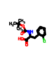 CC(C)(C)OC(=O)NC(Cc1ccccc1Cl)C(=O)O